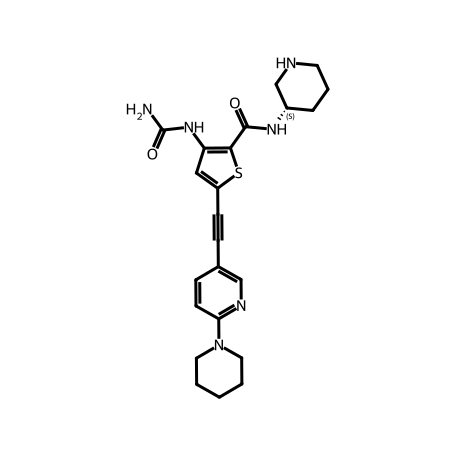 NC(=O)Nc1cc(C#Cc2ccc(N3CCCCC3)nc2)sc1C(=O)N[C@H]1CCCNC1